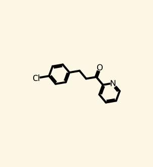 O=C(CCc1ccc(Cl)cc1)c1ccccn1